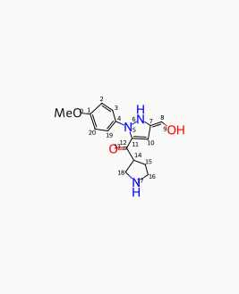 COc1ccc(N2NC(=CO)C=C2C(=O)C2CCNC2)cc1